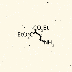 CCOC(=O)C(CCN)C(=O)OCC